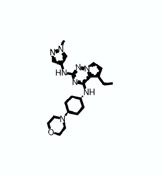 CCc1ccn2nc(Nc3cnn(C)c3)nc(N[C@H]3CC[C@H](N4CCOCC4)CC3)c12